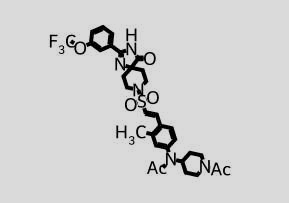 CC(=O)N1CCC(N(C(C)=O)c2ccc(C=CS(=O)(=O)N3CCC4(CC3)N=C(c3cccc(OC(F)(F)F)c3)NC4=O)c(C)c2)CC1